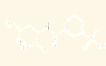 CC(C)CC(NC(=O)c1cccc(S(=O)(=O)O)c1)C(=O)O